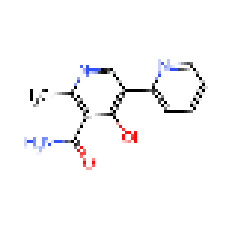 Cc1ncc(-c2ccccn2)c(O)c1C(N)=O